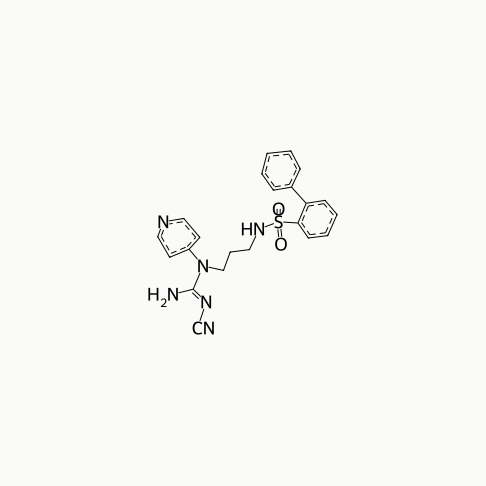 N#CN=C(N)N(CCCNS(=O)(=O)c1ccccc1-c1ccccc1)c1ccncc1